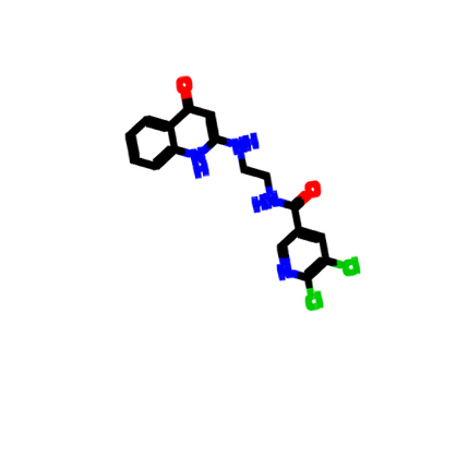 O=C(NCCNc1cc(=O)c2ccccc2[nH]1)c1cnc(Cl)c(Cl)c1